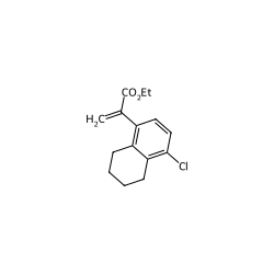 C=C(C(=O)OCC)c1ccc(Cl)c2c1CCCC2